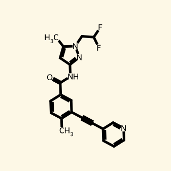 Cc1ccc(C(=O)Nc2cc(C)n(CC(F)F)n2)cc1C#Cc1cccnc1